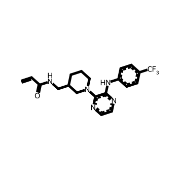 C=CC(=O)NCC1CCCN(c2nccnc2Nc2ccc(C(F)(F)F)cc2)C1